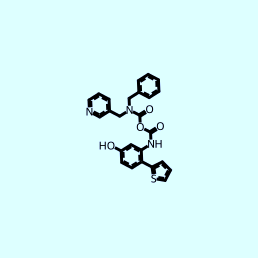 O=C(Nc1cc(O)ccc1-c1cccs1)OC(=O)N(Cc1ccccc1)Cc1cccnc1